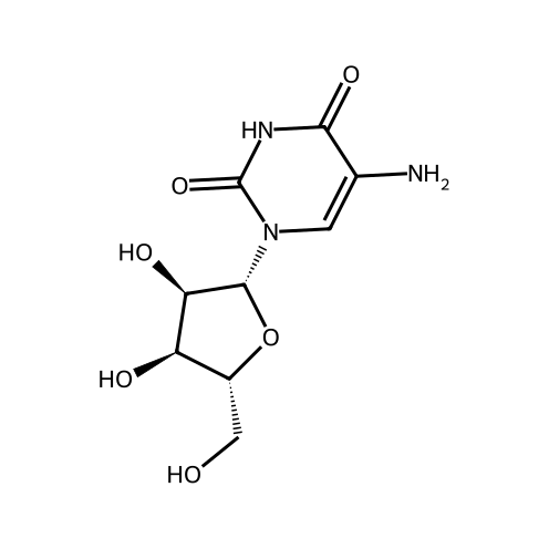 Nc1cn([C@@H]2O[C@H](CO)[C@@H](O)[C@H]2O)c(=O)[nH]c1=O